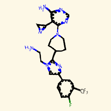 NCCn1cc(-c2ccc(F)c(C(F)(F)F)c2)nc1C1CCN(c2ncnc(N)c2C2=NC2)CC1